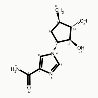 C[C@@H]1C[C@@H](n2cnc(C(N)=O)c2)[C@H](O)[C@H]1O